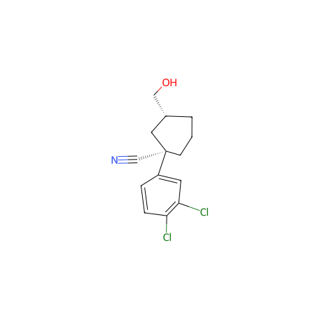 N#C[C@@]1(c2ccc(Cl)c(Cl)c2)CCC[C@@H](CO)C1